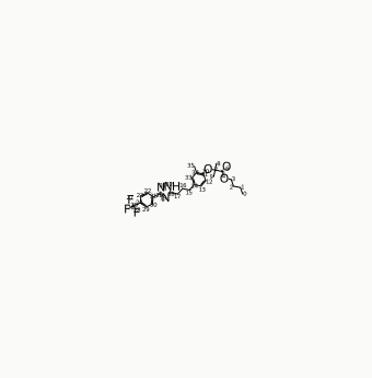 CCCCOC(=O)C(C)(C)Oc1ccc(CCCc2nc(-c3ccc(C(F)(F)F)cc3)n[nH]2)cc1C